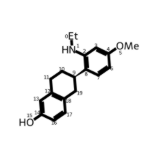 CCNc1cc(OC)ccc1[C@@H]1CCc2cc(O)ccc2C1